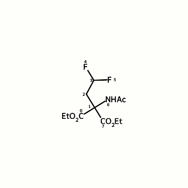 CCOC(=O)C(CC(F)F)(NC(C)=O)C(=O)OCC